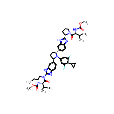 CCCCN(C(=O)[C@@H](NC(=O)OC)C(C)C)c1nc2ccc([C@H]3CC[C@H](c4ccc5nc([C@@H]6CCCN6C(=O)[C@@H](NC(=O)OC)C(C)C)[nH]c5c4)N3c3cc(F)c(C4CC4)c(F)c3)cc2[nH]1